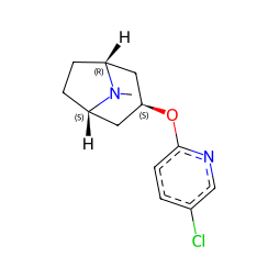 CN1[C@@H]2CC[C@H]1C[C@H](Oc1ccc(Cl)cn1)C2